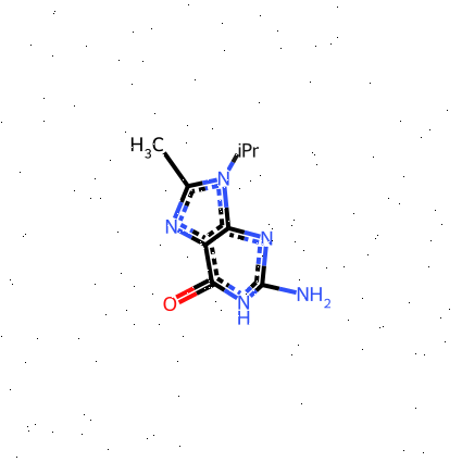 Cc1nc2c(=O)[nH]c(N)nc2n1C(C)C